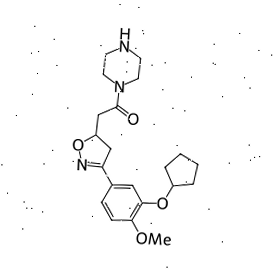 COc1ccc(C2=NOC(CC(=O)N3CCNCC3)C2)cc1OC1CCCC1